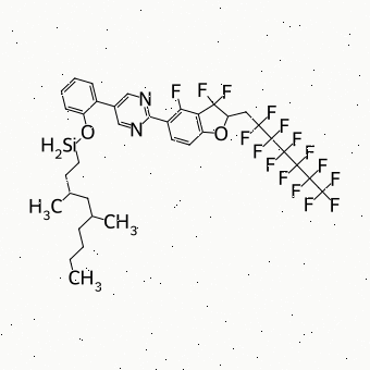 CCCCC(C)CC(C)CC[SiH2]Oc1ccccc1-c1cnc(-c2ccc3c(c2F)C(F)(F)C(CC(F)(F)C(F)(F)C(F)(F)C(F)(F)C(F)(F)C(F)(F)F)O3)nc1